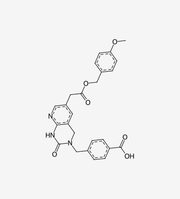 COc1ccc(COC(=O)Cc2cnc3c(c2)CN(Cc2ccc(C(=O)O)cc2)C(=O)N3)cc1